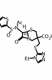 CCn1cnnc1SCC1(C(=O)O)CS[C@@H]2C(N(C(C)=O)[S+]([O-])c3cccs3)C(=O)N2C1